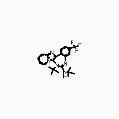 CC(C)(C)NC1=Nc2cc(C(F)(F)F)ccc2-c2nc3ccccn3c2N1C(C)(C)C